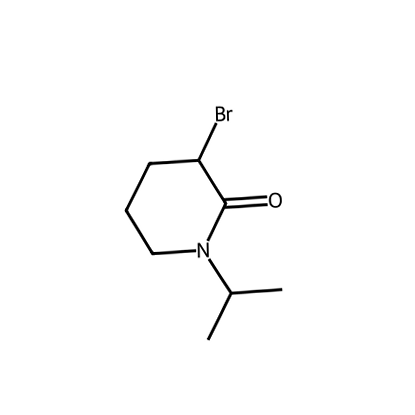 CC(C)N1CCCC(Br)C1=O